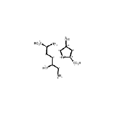 NCC(O)CC[C@H](N)C(=O)O.O=C(O)[C@@H]1CC(O)CN1